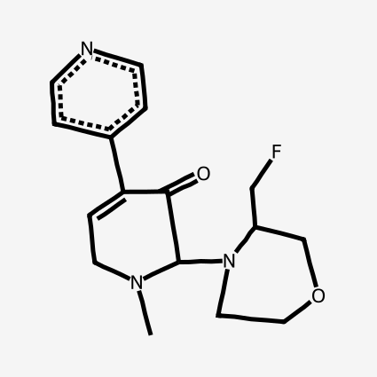 CN1CC=C(c2ccncc2)C(=O)C1N1CCOCC1CF